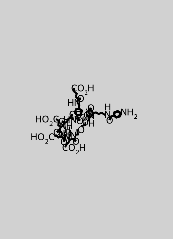 NC(=O)C(CCCCNC(=O)c1ccc(N)cc1)NC(=O)COCCOCCNC(=O)C(CCC(=O)O)NC(=O)C(CCC(=O)O)NC(=O)C(CCC(=O)O)NC(=O)CCC(NC(=O)C1CCC(CNC(=O)CCCC(=O)O)CC1)C(=O)O